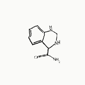 NC(=O)C1NCNc2ccccc21